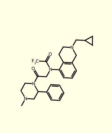 CN1CCN(C(=O)CN(C(=O)C(F)(F)F)c2cccc3c2CCN(CC2CC2)C3)C(c2ccccc2)C1